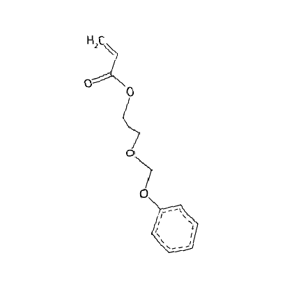 C=CC(=O)OCCOCOc1ccccc1